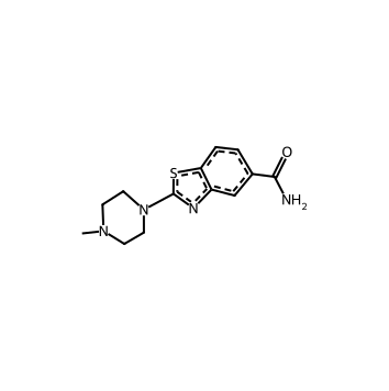 CN1CCN(c2nc3cc(C(N)=O)ccc3s2)CC1